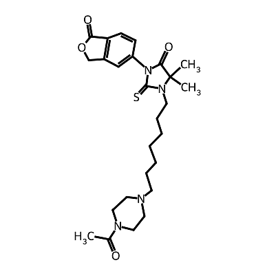 CC(=O)N1CCN(CCCCCCCN2C(=S)N(c3ccc4c(c3)COC4=O)C(=O)C2(C)C)CC1